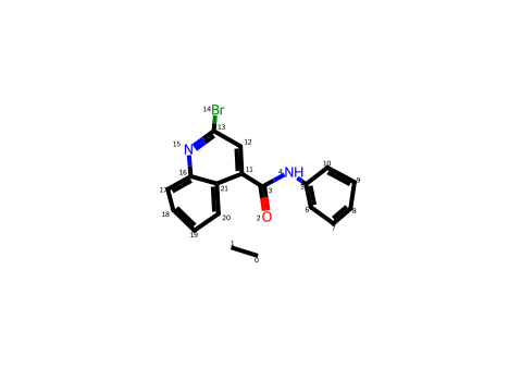 CC.O=C(Nc1ccccc1)c1cc(Br)nc2ccccc12